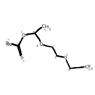 CCC(C)C(=O)OC(C)OCCOCC(F)(F)F